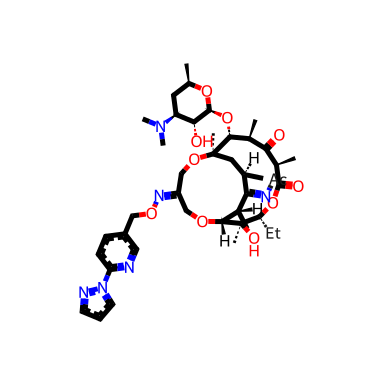 CC[C@H]1OC(=O)[C@H](C)C(=O)[C@H](C)[C@@H](O[C@@H]2O[C@H](C)C[C@H](N(C)C)[C@H]2O)[C@@]2(C)C[C@@H](C)/C(=N\C(C)=O)[C@H](C)[C@@H](OC/C(=N\OCc3ccc(-n4cccn4)nc3)CO2)[C@]1(C)O